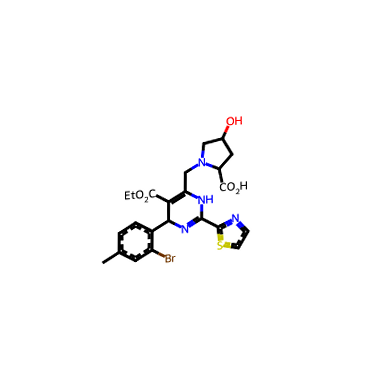 CCOC(=O)C1=C(CN2CC(O)CC2C(=O)O)NC(c2nccs2)=NC1c1ccc(C)cc1Br